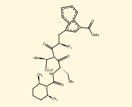 CCCC[C@H](C(=O)O)N(C(=O)[C@H](N)Cc1cn(C(=O)OC)c2ccccc12)C(=O)[C@H](CC(C)(C)C)NC(=O)N1[C@H](C)CCC[C@@H]1C